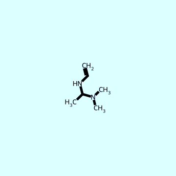 C=CNC(C)N(C)C